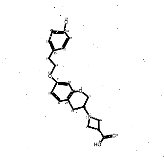 O=C(O)C1CN(C2COc3cc(OCCc4ccc(Cl)cc4)ccc3C2)C1